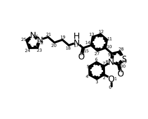 COc1ccccc1-n1c(-c2cccc(C(=O)NCCCCn3cccn3)c2)csc1=O